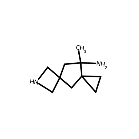 CC1(N)CC2(CNC2)CC12CC2